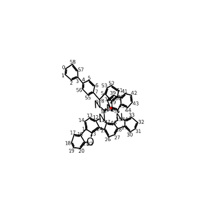 c1ccc(-c2ccc(-c3nc(-n4c5ccc6c7ccccc7oc6c5c5ccc6c7ccccc7n(-c7cccc8ccccc78)c6c54)nc4ccccc34)cc2)cc1